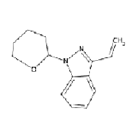 C=Cc1nn(C2CCCCO2)c2ccccc12